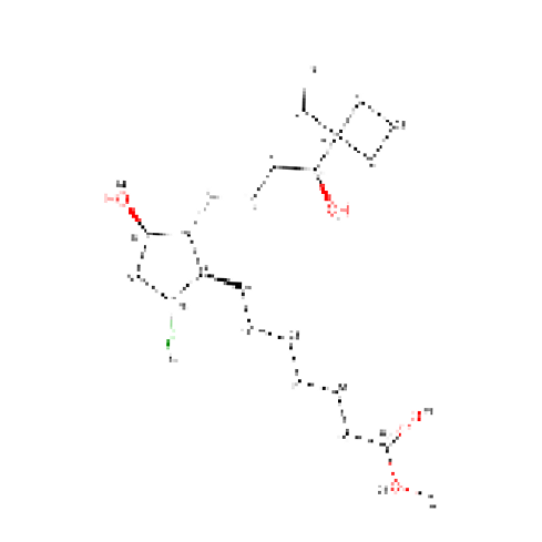 CCC1([C@@H](O)C/C=C/[C@@H]2[C@@H](CCCCCCC(=O)OC)[C@H](Cl)C[C@H]2O)CCC1